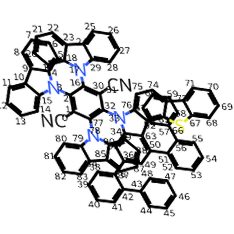 N#Cc1c(-n2c3ccccc3c3ccccc32)c(-n2c3ccccc3c3ccccc32)c(C#N)c(-n2c3cc(-c4ccccc4-c4ccccc4)cc(-c4ccccc4-c4ccccc4)c3c3c4sc5ccccc5c4ccc32)c1-n1c2ccccc2c2ccccc21